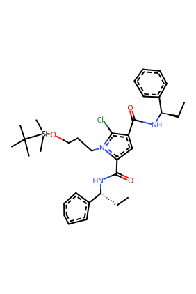 CC[C@@H](NC(=O)c1cc(C(=O)N[C@H](CC)c2ccccc2)n(CCCO[Si](C)(C)C(C)(C)C)c1Cl)c1ccccc1